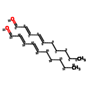 CCCCCC=CC=CC=O.CCCCCC=CC=CC=O